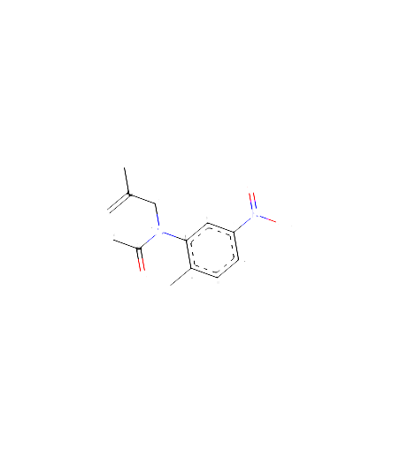 C=C(C)CN(C(C)=O)c1cc([N+](=O)[O-])ccc1C